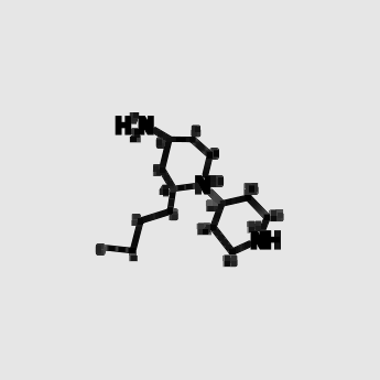 CCCCC1CC(N)CCN1C1CCNCC1